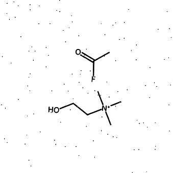 CC(=O)F.C[N+](C)(C)CCO